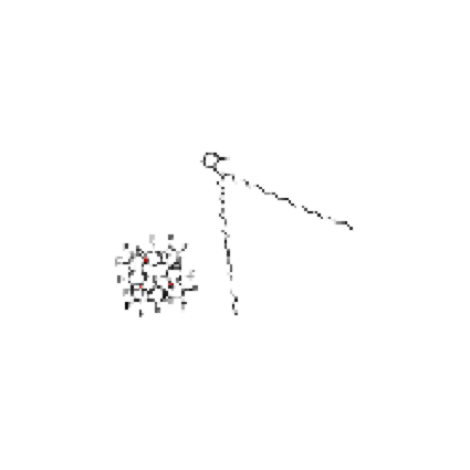 CCCCCCCCCCCCCCCCCCN(CCCCCCCCCCCCCCCCCC)c1ccccc1C.Fc1ccc2c([B-](c3c(F)c(F)c(F)c4c(F)c(F)ccc34)(c3c(F)c(F)c(F)c4c(F)c(F)ccc34)c3c(F)c(F)c(F)c4c(F)c(F)ccc34)c(F)c(F)c(F)c2c1F